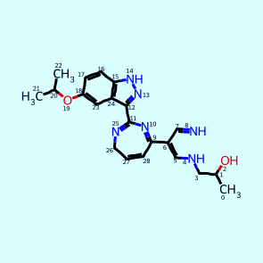 CC(O)CN/C=C(\C=N)C1=NC(c2n[nH]c3ccc(OC(C)C)cc23)=NCC=C1